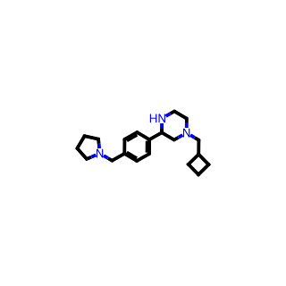 c1cc(C2CN(CC3CCC3)CCN2)ccc1CN1CCCC1